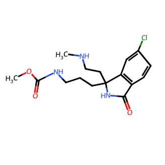 CNCCC1(CCCNC(=O)OC)NC(=O)c2ccc(Cl)cc21